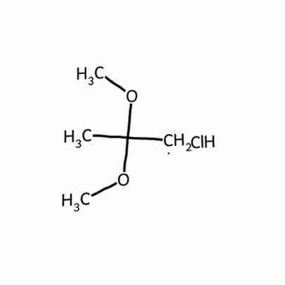 Cl.[CH2]C(C)(OC)OC